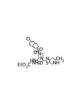 CCOC(=O)CNNC(=O)C1CN(S(=O)(=O)c2ccc3cc(Cl)ccc3c2)CCN1C(=O)c1nc2c(s1)CNC(C)C2